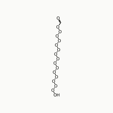 O=COOOOOOOOOOOOOOOO